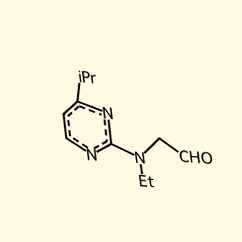 CCN(CC=O)c1nccc(C(C)C)n1